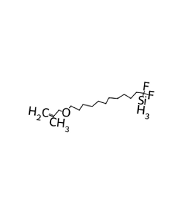 C=C(C)COCCCCCCCCCCCC(F)(F)[SiH3]